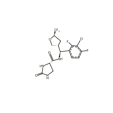 O=C1NC[C@@H](C(=O)N[C@H](c2ccc(F)c(Cl)c2F)[C@@H]2CO[C@@H](C(F)(F)F)C2)N1